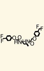 C=C(CCNC(=O)COc1ccc(C(F)F)cc1)NC(=O)COc1ccc(C(F)F)cc1